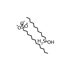 CCCCCCCCCCCC[Si](OC)(OC)OC.CCCCCCCCCC[SiH2]O